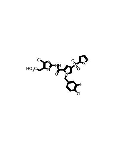 O=C(O)Cc1nc(NC(=O)c2cc(S(=O)(=O)c3cccs3)cn2Cc2ccc(Cl)c(F)c2)sc1Cl